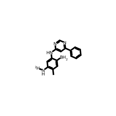 [2H]Nc1cc(Nc2cc(-c3ccccc3)ncn2)c(B)cc1C